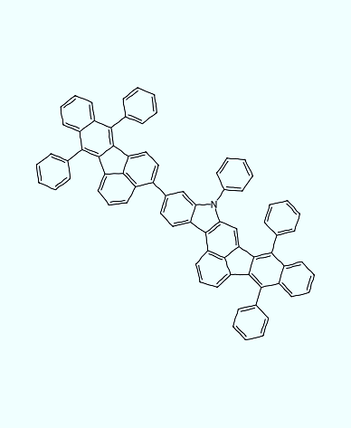 c1ccc(-c2c3c(c(-c4ccccc4)c4ccccc24)-c2ccc(-c4ccc5c6c7cccc8c7c(cc6n(-c6ccccc6)c5c4)-c4c-8c(-c5ccccc5)c5ccccc5c4-c4ccccc4)c4cccc-3c24)cc1